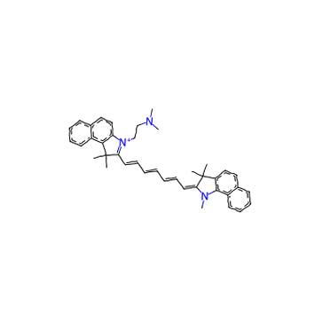 CN(C)CC[N+]1=C(/C=C/C=C/C=C/C=C2/N(C)c3c(ccc4ccccc34)C2(C)C)C(C)(C)c2c1ccc1ccccc21